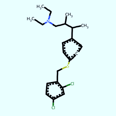 CCN(CC)CC(C)C(C)c1ccc(SCc2ccc(Cl)cc2Cl)cc1